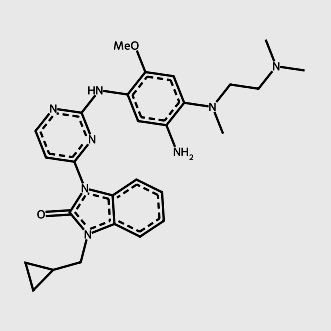 COc1cc(N(C)CCN(C)C)c(N)cc1Nc1nccc(-n2c(=O)n(CC3CC3)c3ccccc32)n1